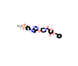 CS(=O)(=O)c1ccc(-n2ncc3c(OC4CCN(C(=O)c5cc(=O)c(OCc6ccccc6)co5)CC4)ncnc32)cc1